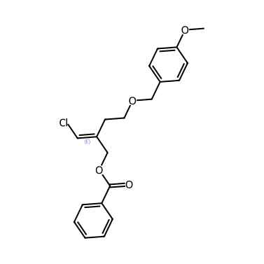 COc1ccc(COCC/C(=C\Cl)COC(=O)c2ccccc2)cc1